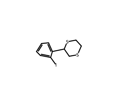 Ic1ccccc1C1CSCCS1